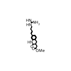 COC(=O)CC1Cc2ccc(C=CCCNC(=N)N)cc2NC1=O